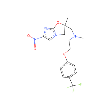 CN(CCOc1ccc(C(F)(F)F)cc1)CC1(C)Cn2cc([N+](=O)[O-])nc2O1